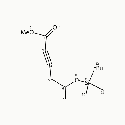 COC(=O)C#CCC(C)O[Si](C)(C)C(C)(C)C